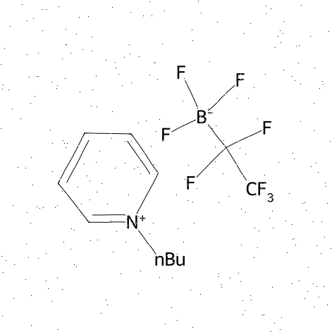 CCCC[n+]1ccccc1.F[B-](F)(F)C(F)(F)C(F)(F)F